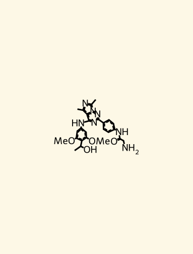 COc1cc(Nc2nc(-c3ccc(NC(=O)CN)cc3)nn3c(C)nc(C)c23)cc(OC)c1C(C)O